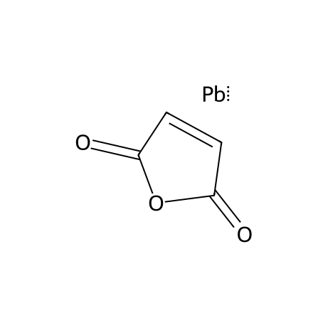 O=C1C=CC(=O)O1.[Pb]